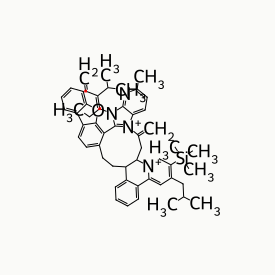 C=C/C(=C(\CC)n1c2[n+](c3ccc(C)nc31)C(=C)CC1C(CCc3ccc4c(oc5ccccc54)c3-2)c2ccccc2-c2cc(CC(C)C)c([Si](C)(C)C)c[n+]21)C(C)C